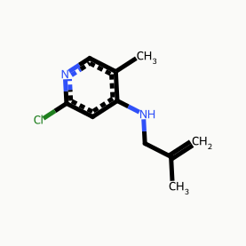 C=C(C)CNc1cc(Cl)ncc1C